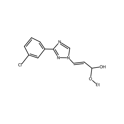 CCOC(O)/C=C/n1cnc(-c2cccc(Cl)c2)n1